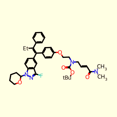 CC/C(=C(/c1ccc(OCCN(C/C=C/C(=O)N(C)C)C(=O)OC(C)(C)C)cc1)c1ccc2c(c1)c(F)nn2C1CCCCO1)c1ccccc1